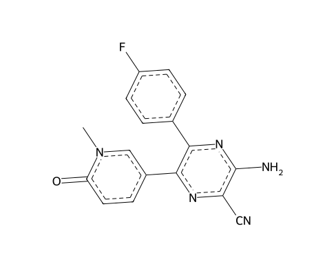 Cn1cc(-c2nc(C#N)c(N)nc2-c2ccc(F)cc2)ccc1=O